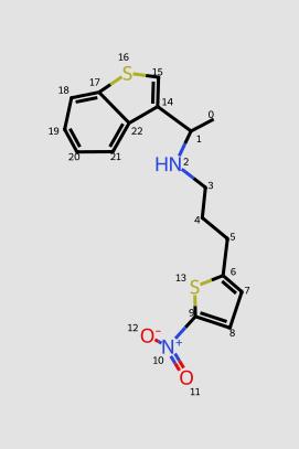 CC(NCCCc1ccc([N+](=O)[O-])s1)c1csc2ccccc12